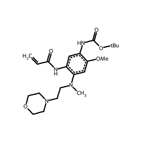 C=CC(=O)Nc1cc(NC(=O)OC(C)(C)C)c(OC)cc1N(C)CCN1CCOCC1